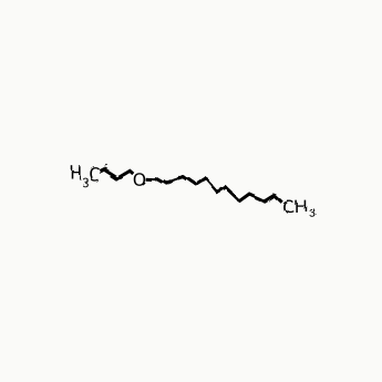 C[CH]CCOCCCCCCCCCCCC